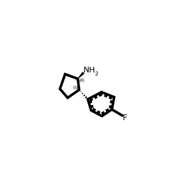 N[C@@H]1CCC[C@H]1c1ccc(F)cc1